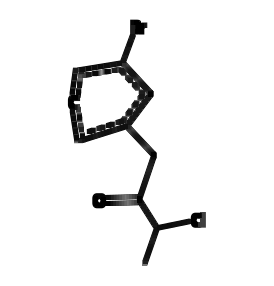 CC(Cl)C(=O)Cc1cccc(Br)c1